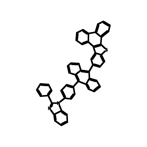 c1ccc(-c2nc3ccccc3n2-c2ccc(-c3c4ccccc4c(-c4ccc5sc6c7ccccc7c7ccccc7c6c5c4)c4ccccc34)cc2)cc1